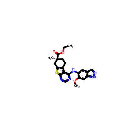 CCOC(=O)[C@@]1(C)CCc2c(sc3ncnc(Nc4cc5cn[nH]c5cc4OC)c23)C1